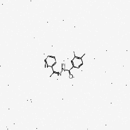 CC(=NNC(=O)c1ccc(C)c(C)c1)c1ccccn1